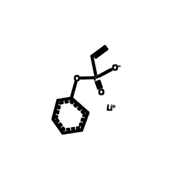 C=CP(=O)([O-])Oc1ccccc1.[Li+]